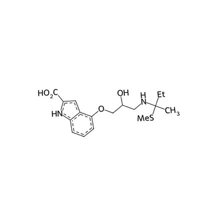 CCC(C)(NCC(O)COc1cccc2[nH]c(C(=O)O)cc12)SC